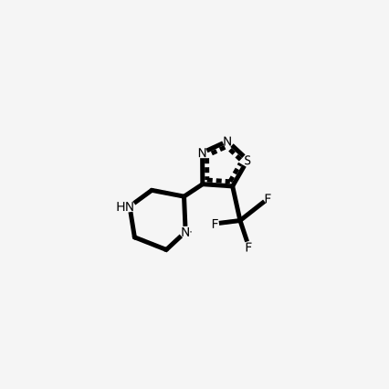 FC(F)(F)c1snnc1C1CNCC[N]1